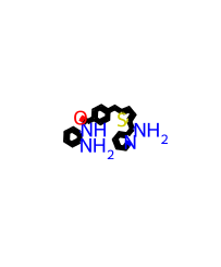 Nc1ccccc1NC(=O)c1ccc(Cc2ccc(C(N)c3ccccn3)s2)cc1